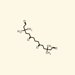 CC(C)(CC=O)CCC(=O)CCCC(=O)CCC(C)(C)CC=O